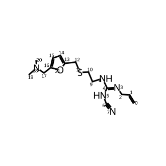 C=CC/N=C(\NC#N)NCCSCc1ccc(CN(C)C)o1